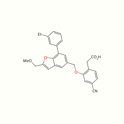 CCc1cccc(-c2cc(COc3cc(C#N)ccc3CC(=O)O)cc3cc(COC)oc23)c1